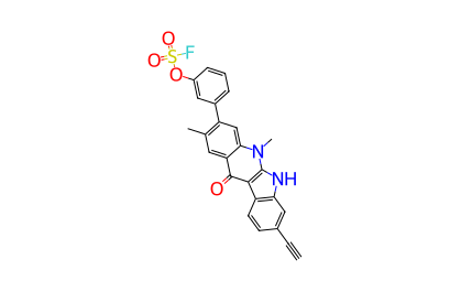 C#Cc1ccc2c(c1)[nH]c1c2c(=O)c2cc(C)c(-c3cccc(OS(=O)(=O)F)c3)cc2n1C